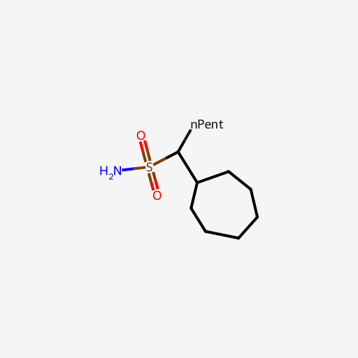 CCCCCC(C1CCCCCC1)S(N)(=O)=O